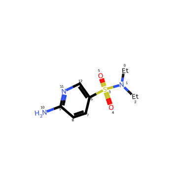 CCN(CC)S(=O)(=O)c1ccc(N)nc1